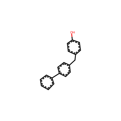 Oc1ccc(Cc2ccc(-c3ccccc3)cc2)cc1